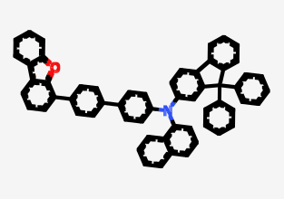 c1ccc(C2(c3ccccc3)c3ccccc3-c3ccc(N(c4ccc(-c5ccc(-c6cccc7c6oc6ccccc67)cc5)cc4)c4cccc5ccccc45)cc32)cc1